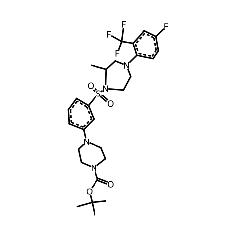 CC1CN(c2ccc(F)cc2C(F)(F)F)CCN1S(=O)(=O)c1cccc(N2CCN(C(=O)OC(C)(C)C)CC2)c1